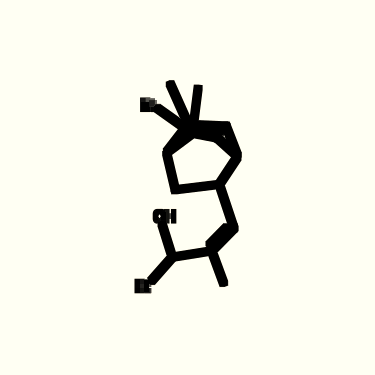 CCC(O)C(C)=CC1CC2C(C)=CC1CC2(C)CC